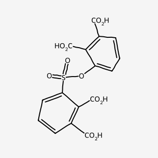 O=C(O)c1cccc(OS(=O)(=O)c2cccc(C(=O)O)c2C(=O)O)c1C(=O)O